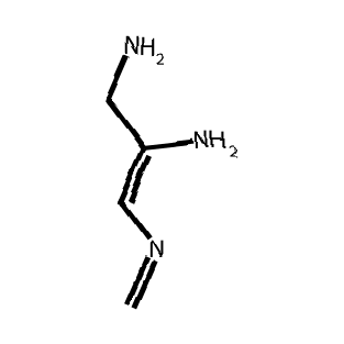 C=N/C=C(\N)CN